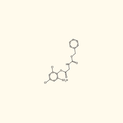 O=C(CNC(=O)OCc1ccccc1)Oc1c(Cl)cc(Cl)cc1S(=O)(=O)O